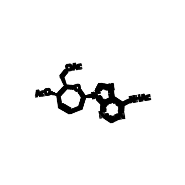 CC(=O)Nc1ncnc2c1ncn2[C@H]1CC=C[C@H](OC(C)=O)[C@@H](COC(C)=O)O1